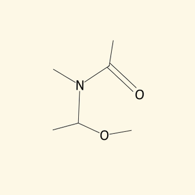 COC(C)N(C)C(C)=O